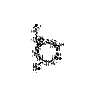 CC[C@H](C)[C@@H]1NC(=O)[C@@H](CCCNC(=N)N)NC(=O)[C@H](CC(C)C)NC(=O)[C@H]([C@H](O)C(C)C)NC(=O)[C@@H](NC(=O)[C@H](CC(C)C)NC(=O)CCCNC(=O)OC(C)(C)C)[C@@H](c2ccccc2)OC(=O)[C@H](CO)NC(=O)[C@H]([C@H](O)C(N)=O)NC(=O)CNC(=O)[C@H]([C@H](C)O)NC1=O